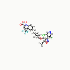 O=C(O)c1cc(C(F)(F)F)c2cc(CCC34CCC(OCc5c(-c6c(Cl)cncc6Cl)noc5C5CC5)(CC3)CC4)ccc2n1